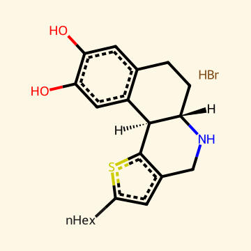 Br.CCCCCCc1cc2c(s1)[C@H]1c3cc(O)c(O)cc3CC[C@@H]1NC2